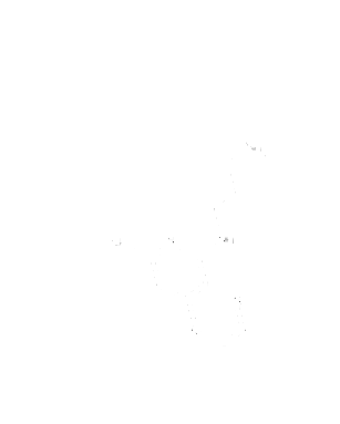 NCCCNc1nc(Cl)cc2nccnc12